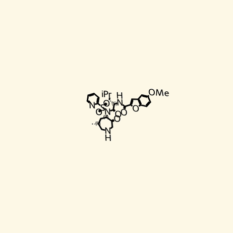 COc1ccc2oc(C(=O)N[C@@H](CC(C)C)C(=O)N([C@@H]3C[C@@H](C)CNCC3=O)S(=O)(=O)c3ccccn3)cc2c1